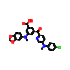 CN(c1ccc(Cl)cc1)c1ccc(C(=O)c2cc(C(=O)O)cc(N(C)c3ccc4c(c3)OCO4)c2)nc1